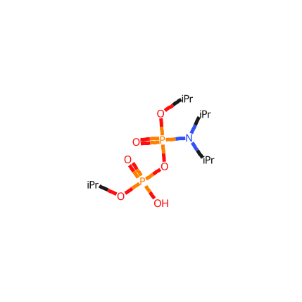 CC(C)OP(=O)(O)OP(=O)(OC(C)C)N(C(C)C)C(C)C